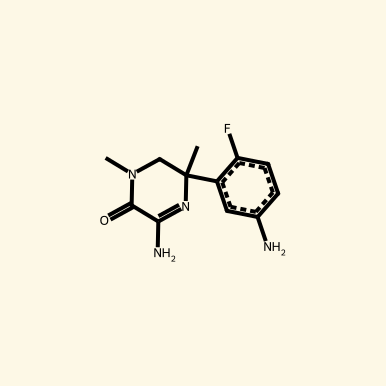 CN1CC(C)(c2cc(N)ccc2F)N=C(N)C1=O